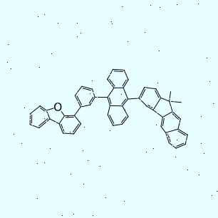 CC1(C)c2ccc(-c3c4ccccc4c(-c4cccc(-c5cccc6c5oc5ccccc56)c4)c4ccccc34)cc2-c2cc3ccccc3cc21